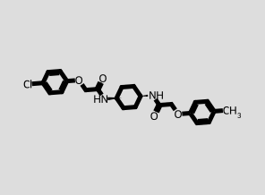 Cc1ccc(OCC(=O)N[C@H]2CC[C@H](NC(=O)COc3ccc(Cl)cc3)CC2)cc1